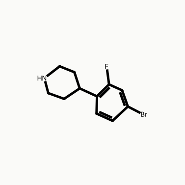 Fc1cc(Br)ccc1C1CCNCC1